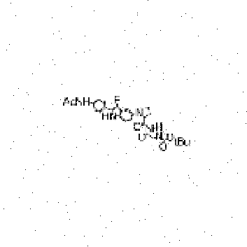 CC(=O)Nc1ccc(-c2[nH]c3ccc(N4CCC[C@H]4C(=O)NC(=O)[C@@H](C)NC(=O)OC(C)(C)C)cc3c2F)cc1